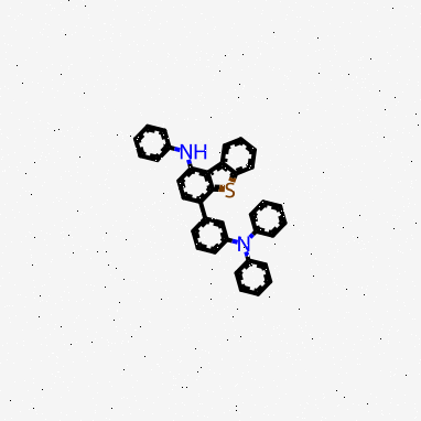 c1ccc(Nc2ccc(-c3cccc(N(c4ccccc4)c4ccccc4)c3)c3sc4ccccc4c23)cc1